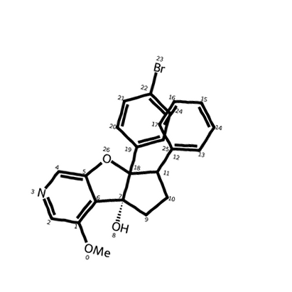 COc1cncc2c1[C@]1(O)CCC(c3ccccc3)C1(c1ccc(Br)cc1)O2